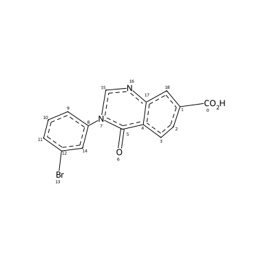 O=C(O)c1ccc2c(=O)n(-c3cccc(Br)c3)cnc2c1